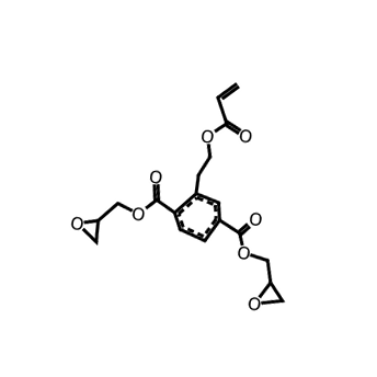 C=CC(=O)OCCc1cc(C(=O)OCC2CO2)ccc1C(=O)OCC1CO1